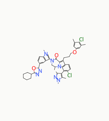 Cc1cc(OCCCc2c3n(c4c(-c5c(C)nn(C)c5C)c(Cl)ccc24)C(C)CN(c2cn(C)c4ccc(-c5nnc(C6CCCCC6)o5)cc24)C3=O)cc(C)c1Cl